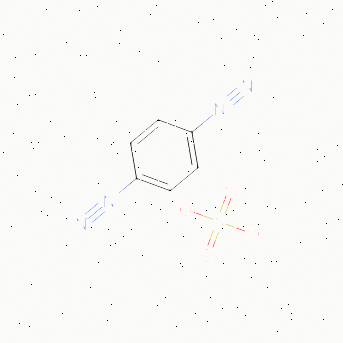 N#[N+]c1ccc([N+]#N)cc1.O=S(=O)([O-])[O-]